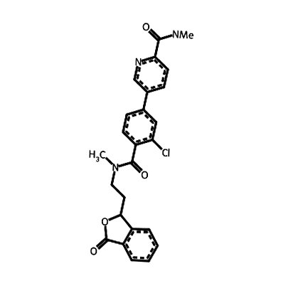 CNC(=O)c1ccc(-c2ccc(C(=O)N(C)CCC3OC(=O)c4ccccc43)c(Cl)c2)cn1